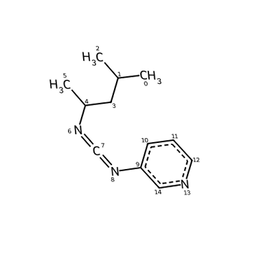 CC(C)CC(C)N=C=Nc1cccnc1